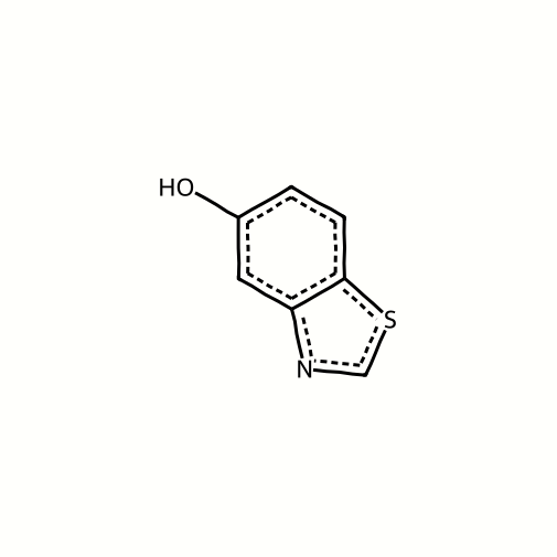 Oc1ccc2scnc2c1